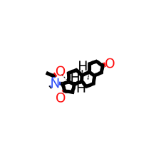 CC(=O)N(C)C1C(=O)C[C@H]2[C@@H]3CCC4CC(=O)CC[C@]4(C)[C@@H]3CC[C@]12C